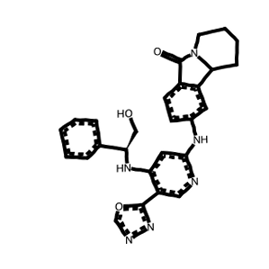 O=C1c2ccc(Nc3cc(N[C@H](CO)c4ccccc4)c(-c4nnco4)cn3)cc2C2CCCCN12